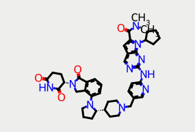 CN(C)C(=O)c1cc2cnc(Nc3ccc(CN4CCC([C@@H]5CCCN5c5cccc6c5CN([C@H]5CCC(=O)NC5=O)C6=O)CC4)cn3)nc2n1C1CCCC1